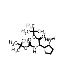 CC(C)(C)OC(=O)N[C@H](C(=O)OC(C)(C)C)[C@H]1CCC[C@H]1NI